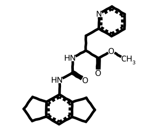 COC(=O)C(Cc1ccccn1)NC(=O)Nc1c2c(cc3c1CCC3)CCC2